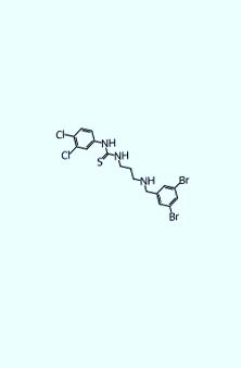 S=C(NCCCNCc1cc(Br)cc(Br)c1)Nc1ccc(Cl)c(Cl)c1